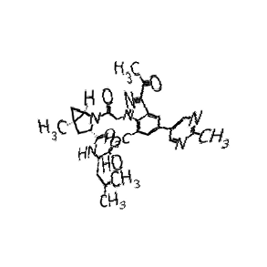 CC(=O)c1nn(CC(=O)N2[C@H](C(=O)N[C@H](CC(C)C)C(=O)O)C[C@@]3(C)C[C@@H]23)c2c(C)cc(-c3cnc(C)nc3)cc12